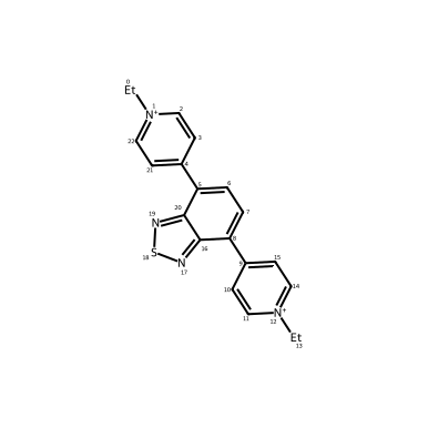 CC[n+]1ccc(-c2ccc(-c3cc[n+](CC)cc3)c3nsnc23)cc1